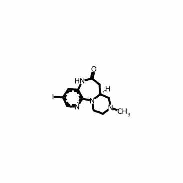 CN1CCN2c3ncc(I)cc3NC(=O)C[C@H]2C1